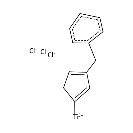 [Cl-].[Cl-].[Cl-].[Ti+3][C]1=CC(Cc2ccccc2)=CC1